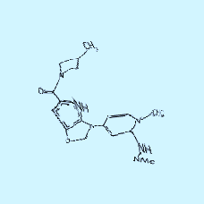 CNNC1C=C(N2COc3cc(C(=O)N4CC(C)C4)[nH]c32)C=CN1C=O